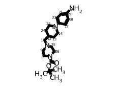 CC(C)(C)OC(=O)N1CCN(CC2CCN(c3ccc(N)cc3)CC2)CC1